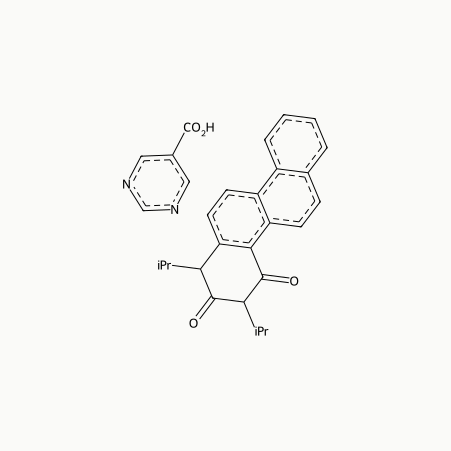 CC(C)C1C(=O)c2c(ccc3c2ccc2ccccc23)C(C(C)C)C1=O.O=C(O)c1cncnc1